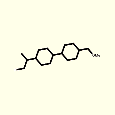 COCC1CCC(C2CCC(C(C)CF)CC2)CC1